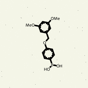 COc1cc(COc2ccc(B(O)O)cc2)cc(OC)c1